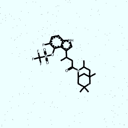 CC(CC(=O)N1C(C)CC2(C)CC1CC(C)(C)C2)c1c[nH]c2ccc(F)c(OS(=O)(=O)C(F)(F)F)c12